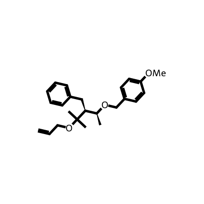 C=CCOC(C)(C)[C@@H](Cc1ccccc1)[C@H](C)OCc1ccc(OC)cc1